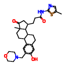 Cc1cnc(NC(=O)CCC2CC(=O)C3(C)CCC4c5cc(CN6CCOCC6)c(O)cc5CCC4C23)s1